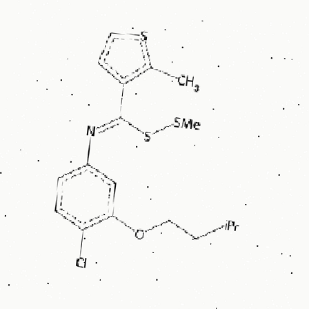 CSSC(=Nc1ccc(Cl)c(OCCC(C)C)c1)c1ccsc1C